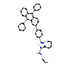 C/C=C\N=C(/C)c1nc(-c2ccc(-c3ccc4c(-c5ccccc5)c5ccccc5c(-c5ccccc5)c4c3)cc2)n2ccccc12